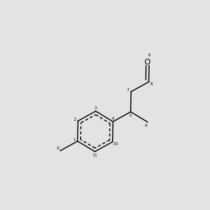 Cc1ccc(C(C)CC=O)cc1